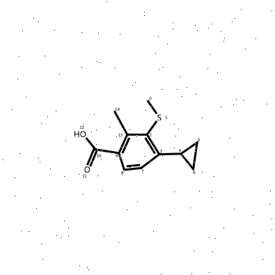 CSc1c(C2CC2)ccc(C(=O)O)c1C